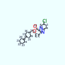 CCc1nc2ccc(Cl)cn2c1C(=O)OCc1ccc(-c2ccccc2)cc1